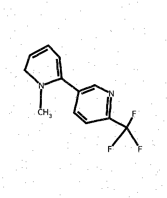 CN1CC=CC=C1c1ccc(C(F)(F)F)nc1